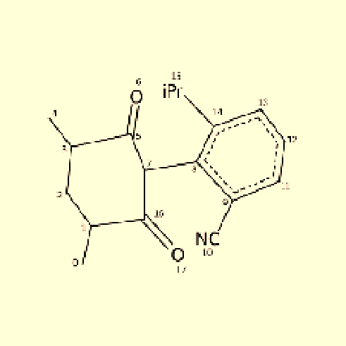 CC1CC(C)C(=O)C(c2c(C#N)cccc2C(C)C)C1=O